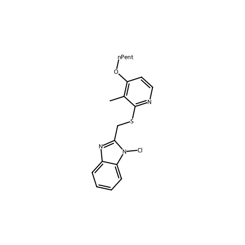 CCCCCOc1ccnc(SCc2nc3ccccc3n2Cl)c1C